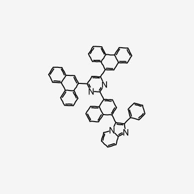 c1ccc(-c2nc3ccccn3c2-c2ccc(-c3nc(-c4cc5ccccc5c5ccccc45)cc(-c4cc5ccccc5c5ccccc45)n3)c3ccccc23)cc1